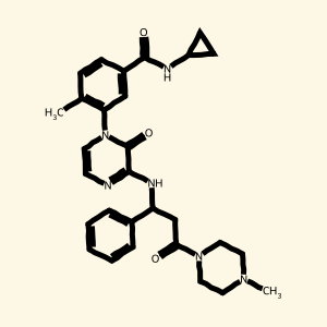 Cc1ccc(C(=O)NC2CC2)cc1-n1ccnc(NC(CC(=O)N2CCN(C)CC2)c2ccccc2)c1=O